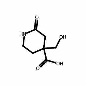 O=C1CC(CO)(C(=O)O)CCN1